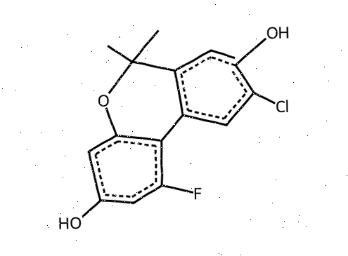 CC1(C)Oc2cc(O)cc(F)c2-c2cc(Cl)c(O)cc21